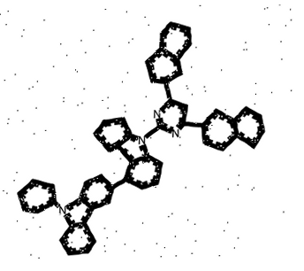 c1ccc(-n2c3ccccc3c3cc(-c4cccc5c4c4ccccc4n5-c4nc(-c5ccc6ccccc6c5)cc(-c5ccc6ccccc6c5)n4)ccc32)cc1